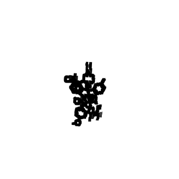 COc1ccc(S(=O)(=O)N2C(=O)C(c3cc(C)ccc3OC)(N3CCNCC3C(=O)N(C)C)c3cc(Cl)ccc32)c(OC(F)(F)F)c1